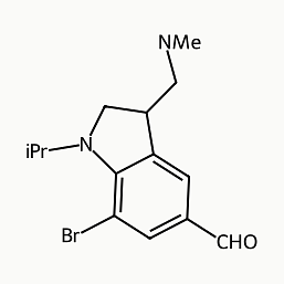 CNCC1CN(C(C)C)c2c(Br)cc(C=O)cc21